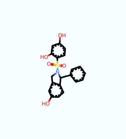 O=S(=O)(c1ccc(O)cc1O)N1Cc2cc(O)ccc2C1c1ccccc1